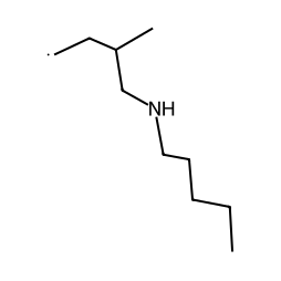 [CH2]CC(C)CNCCCCC